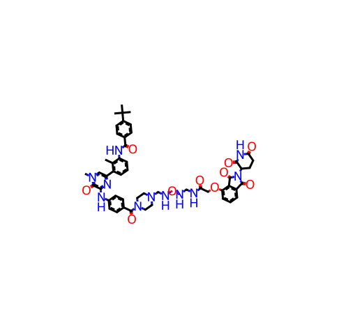 Cc1c(NC(=O)c2ccc(C(C)(C)C)cc2)cccc1-c1cn(C)c(=O)c(Nc2ccc(C(=O)N3CCN(CNONCNC(=O)COc4cccc5c4C(=O)N(C4CCC(=O)NC4=O)C5=O)CC3)cc2)n1